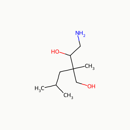 CC(C)CC(C)(CO)C(O)CN